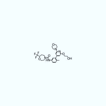 Cc1ccc(NC(=O)N2CCOC(C(F)(F)F)CC2)cc1-c1cc(OCCO)nc(N2CCOCC2)c1